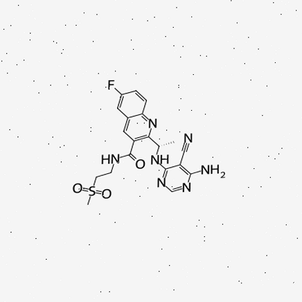 C[C@H](Nc1ncnc(N)c1C#N)c1nc2ccc(F)cc2cc1C(=O)NCCS(C)(=O)=O